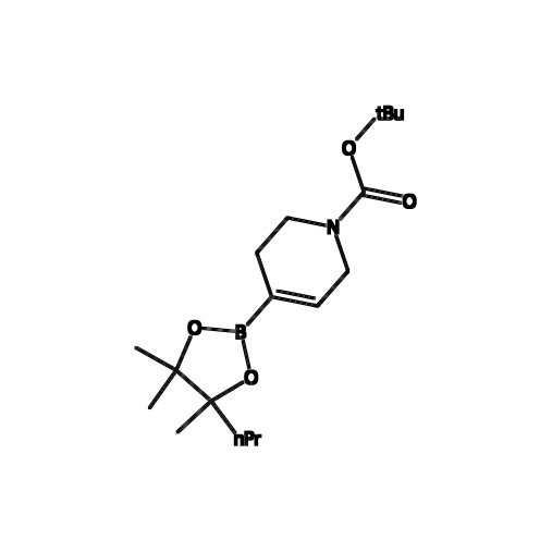 CCCC1(C)OB(C2=CCN(C(=O)OC(C)(C)C)CC2)OC1(C)C